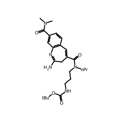 CCCN(CCCNC(=O)OC(C)(C)C)C(=O)C1=Cc2ccc(C(=O)N(C)C)cc2N=C(N)C1